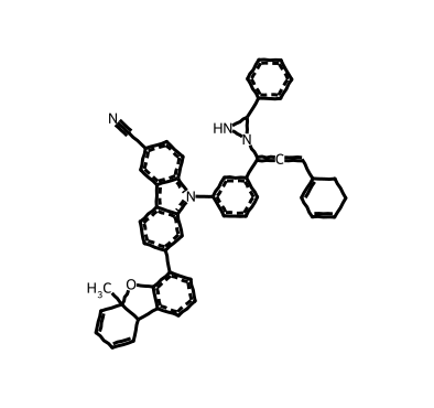 CC12C=CC=CC1c1cccc(-c3ccc4c5cc(C#N)ccc5n(-c5cccc(C(=C=CC6=CC=CCC6)N6NC6c6ccccc6)c5)c4c3)c1O2